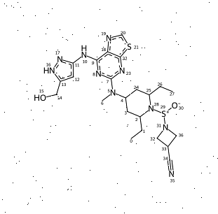 CCC1CC(N(C)c2nc(Nc3cc(CO)[nH]n3)c3ncsc3n2)CC(CC)N1[S+]([O-])N1CC(C#N)C1